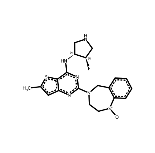 Cc1cc2nc(N3CC[S+]([O-])c4ccccc4C3)nc(N[C@@H]3CNC[C@H]3F)c2s1